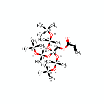 C=CC(=O)OC[Si](O[Si](C)(C)O[Si](C)(C)C)(O[Si](C)(C)O[Si](C)(C)C)O[Si](C)(C)O[Si](C)(C)C